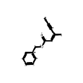 CC#C/C(C)=C\C(=O)OCc1ccccc1